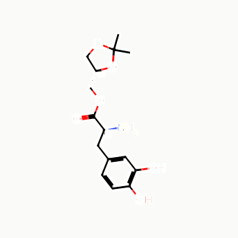 CC1(C)OC[C@@H](COC(=O)[C@@H](N)Cc2ccc(O)c(O)c2)O1